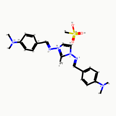 CC(C)c1n(N=Cc2ccc(N(C)C)cc2)cc[n+]1N=Cc1ccc(N(C)C)cc1.CS(=O)(=O)[O-]